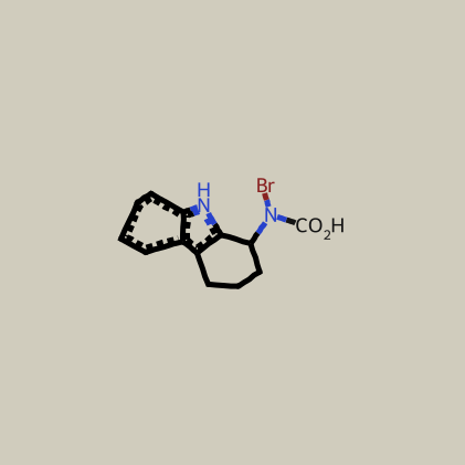 O=C(O)N(Br)C1CCCc2c1[nH]c1ccccc21